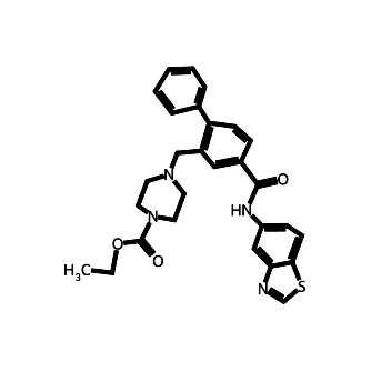 CCOC(=O)N1CCN(Cc2cc(C(=O)Nc3ccc4scnc4c3)ccc2-c2ccccc2)CC1